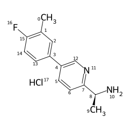 Cc1cc(-c2ccc([C@H](C)N)nc2)ccc1F.Cl